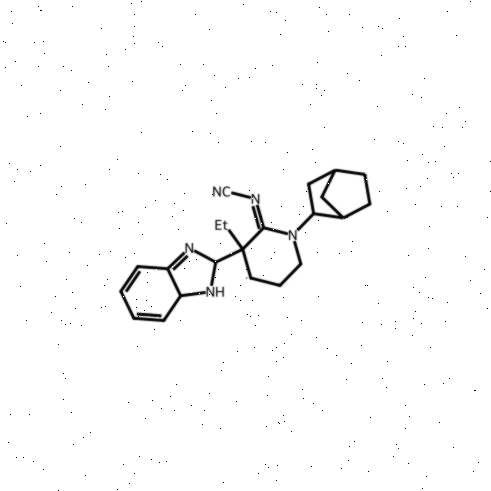 CCC1(C2N=C3C=CC=CC3N2)[CH]CCN(C2CC3CCC2C3)C1=NC#N